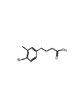 Cc1cc(CCCC(=O)O)ccc1Br